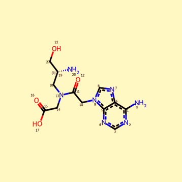 Nc1ncnc2c1ncn2CC(=O)N(CC(=O)O)C[C@@H](N)CO